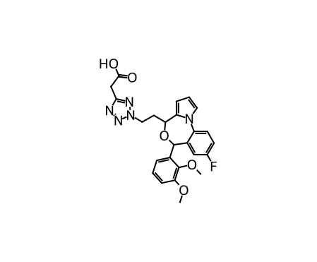 COc1cccc(C2OC(CCn3nnc(CC(=O)O)n3)c3cccn3-c3ccc(F)cc32)c1OC